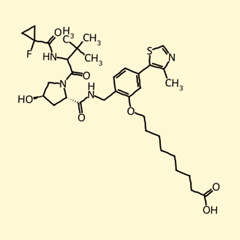 Cc1ncsc1-c1ccc(CNC(=O)[C@@H]2C[C@@H](O)CN2C(=O)C(NC(=O)C2(F)CC2)C(C)(C)C)c(OCCCCCCCCC(=O)O)c1